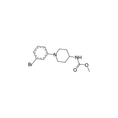 COC(=O)NC1CCN(c2cccc(Br)c2)CC1